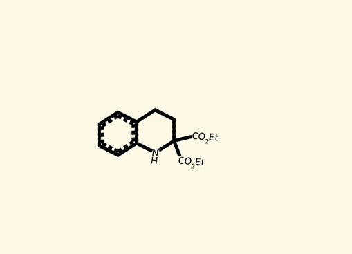 CCOC(=O)C1(C(=O)OCC)CCc2ccccc2N1